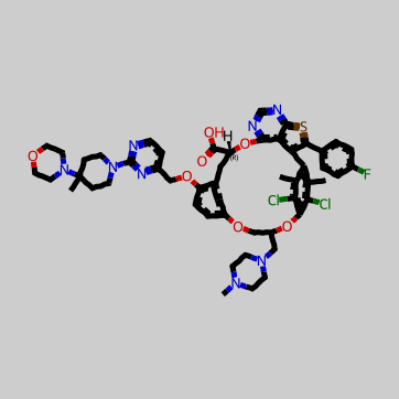 Cc1c(Cl)c2c(Cl)c(C)c1-c1c(-c3ccc(F)cc3)sc3ncnc(c13)O[C@@H](C(=O)O)Cc1cc(ccc1OCc1ccnc(N3CCC(C)(N4CCOCC4)CC3)n1)OCC(CN1CCN(C)CC1)O2